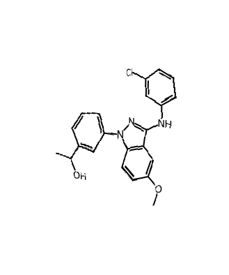 COc1ccc2c(c1)c(Nc1cccc(Cl)c1)nn2-c1cccc(C(C)O)c1